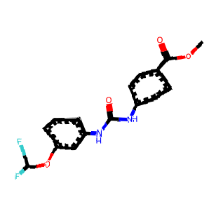 COC(=O)c1ccc(NC(=O)Nc2cccc(OC(F)F)c2)cc1